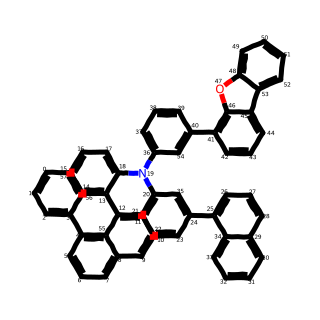 c1ccc(-c2cccc3cccc(-c4ccccc4N(c4cccc(-c5cccc6ccccc56)c4)c4cccc(-c5cccc6c5oc5ccccc56)c4)c23)cc1